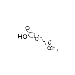 COC(=O)CCCCC1CC2CC(C=O)C(O)CC2O1